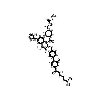 CCN(CC)CCCNC(=O)c1cc(C)c(-c2ccc(C[C@@H](C(N)=O)N(c3ccc(-c4nnn[nH]4)cc3)C(=O)[C@H]3CC[C@H](CNC(=O)OC(C)(C)C)CC3)cc2)cn1